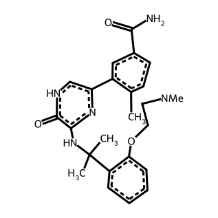 CNCCOc1ccccc1C(C)(C)Nc1nc(-c2cc(C(N)=O)ccc2C)c[nH]c1=O